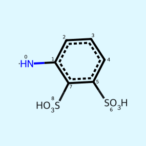 [NH]c1cccc(S(=O)(=O)O)c1S(=O)(=O)O